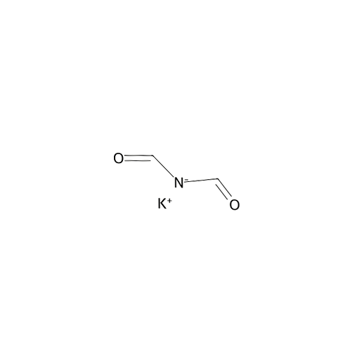 O=C[N-]C=O.[K+]